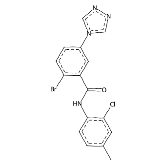 Cc1ccc(NC(=O)c2cc(-n3cnnc3)ccc2Br)c(Cl)c1